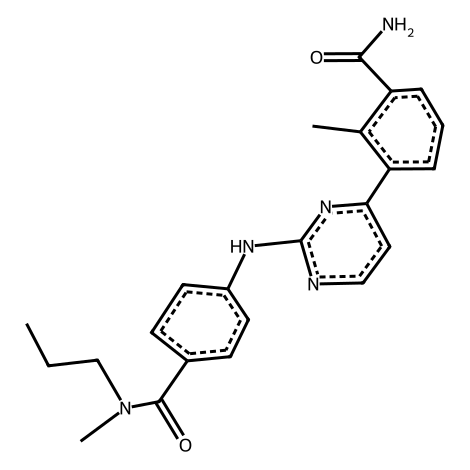 CCCN(C)C(=O)c1ccc(Nc2nccc(-c3cccc(C(N)=O)c3C)n2)cc1